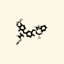 CC[C@@H]1CN(Cc2cc([C@@H](c3ccc4c(nnn4CC)c3C)C(C)(C)C(=O)N=[N+]=[N-])ccc2C)S(=O)(=O)c2ccccc2O1